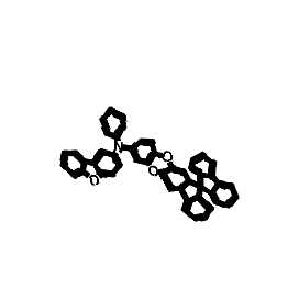 C1=C2Oc3ccc(N(c4ccccc4)c4ccc5oc6ccccc6c5c4)cc3OC2=CC2c3ccccc3C3(c4ccccc4-c4ccccc43)C12